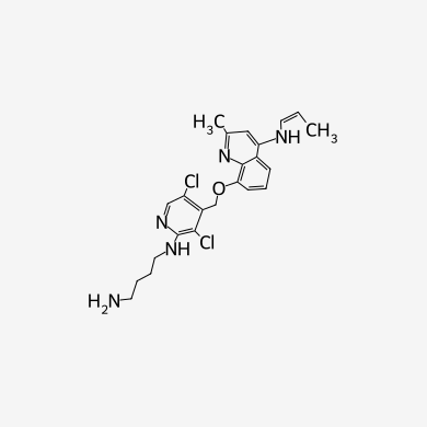 C/C=C\Nc1cc(C)nc2c(OCc3c(Cl)cnc(NCCCCN)c3Cl)cccc12